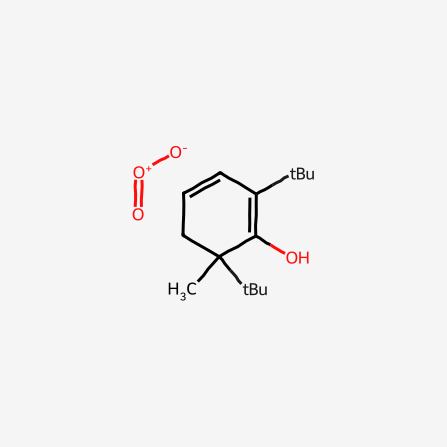 CC(C)(C)C1=C(O)C(C)(C(C)(C)C)CC=C1.O=[O+][O-]